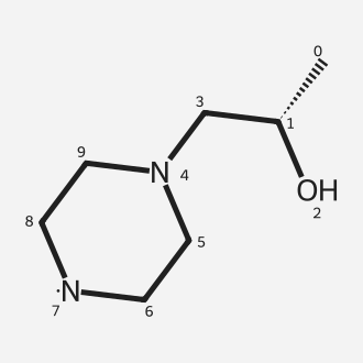 C[C@H](O)CN1CC[N]CC1